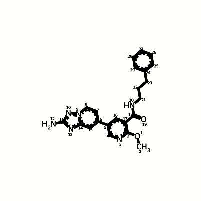 COc1ncc(-c2ccn3nc(N)nc3c2)cc1C(=O)NCCCc1ccccc1